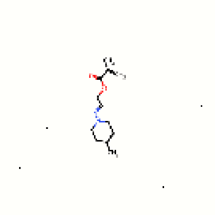 C=C(C)C(=O)OCC=NN1CCC(C)CC1